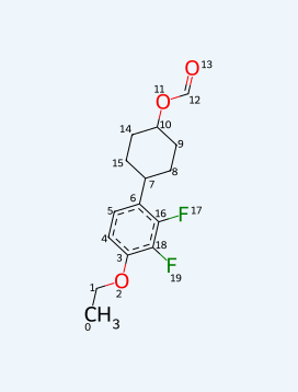 CCOc1ccc(C2CCC(OC=O)CC2)c(F)c1F